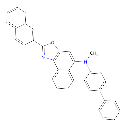 CN(c1ccc(-c2ccccc2)cc1)c1cc2oc(-c3ccc4ccccc4c3)nc2c2ccccc12